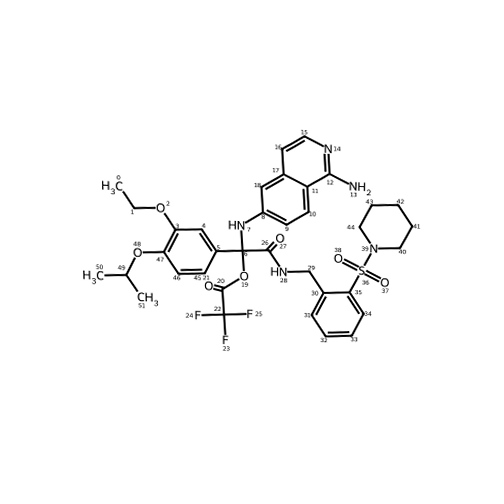 CCOc1cc(C(Nc2ccc3c(N)nccc3c2)(OC(=O)C(F)(F)F)C(=O)NCc2ccccc2S(=O)(=O)N2CCCCC2)ccc1OC(C)C